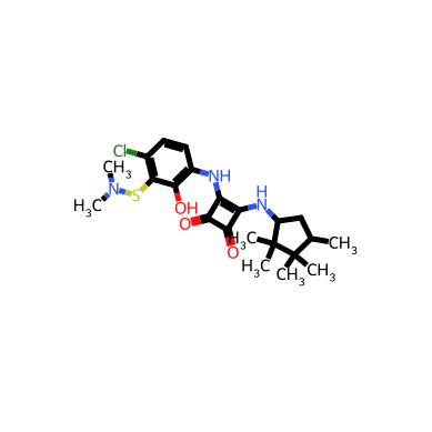 CC1CC(Nc2c(Nc3ccc(Cl)c(SN(C)C)c3O)c(=O)c2=O)C(C)(C)C1(C)C